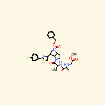 CC(NCC(=O)OC(C)(C)C)C(=O)NC(C(=O)N1CCC2C1C(c1csc(-c3ccc(F)cc3)n1)CN2C(=O)OCc1ccccc1)C(C)(C)C